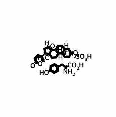 C[C@]12CC[C@H](OS(=O)(=O)O)C[C@H]1CC[C@@H]1[C@@H]2CC[C@]2(C)[C@@H](c3ccc(=O)oc3)C[C@H]3O[C@]132.NC(Cc1ccc(O)cc1)C(=O)O